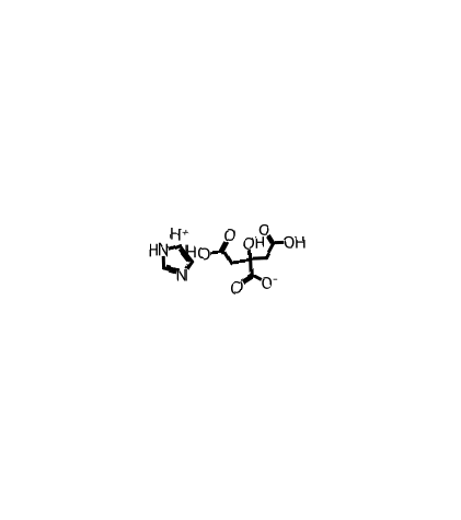 O=C(O)CC(O)(CC(=O)O)C(=O)[O-].[H+].c1c[nH]cn1